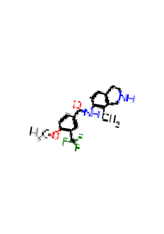 COc1ccc(C(=O)Nc2ccc3c(c2C)CNCC3)cc1C(F)(F)F